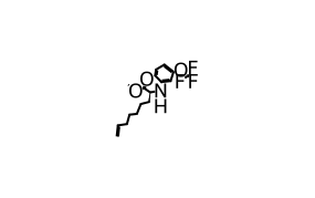 C=CCCCCC[C@H](Nc1cccc(OC(F)(F)F)c1)C(=O)OC